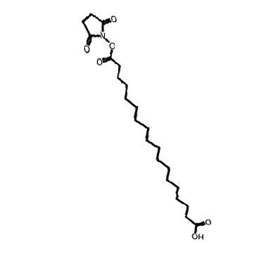 O=C(O)CCCCCCCCCCCCCCCCC(=O)ON1C(=O)CCC1=O